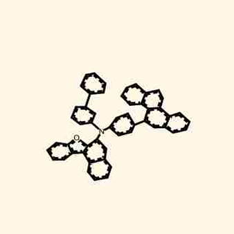 c1ccc(-c2cccc(N(c3ccc(-c4cc5ccccc5c5ccc6ccccc6c45)cc3)c3cc4ccccc4c4c3oc3ccccc34)c2)cc1